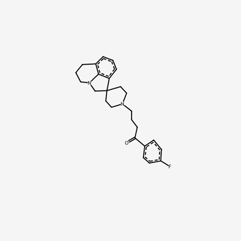 O=C(CCCN1CCC2(CC1)CN1CCCc3cccc2c31)c1ccc(F)cc1